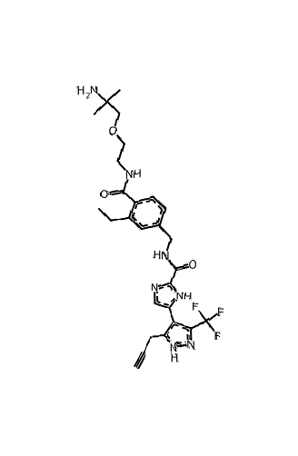 C#CCc1[nH]nc(C(F)(F)F)c1-c1cnc(C(=O)NCc2ccc(C(=O)NCCOCC(C)(C)N)c(CC)c2)[nH]1